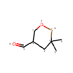 CC1(C)CC(C=O)COS1